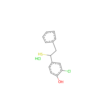 Cl.Oc1ccc(C(S)Cc2ccccc2)cc1Cl